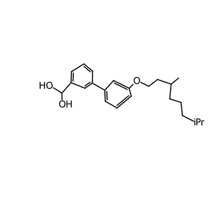 CC(C)CCCC(C)CCOc1cccc(-c2cccc(C(O)O)c2)c1